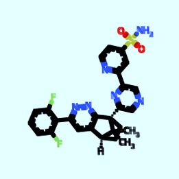 CC1(C)[C@H]2CC[C@]1(c1cncc(-c3cc(S(N)(=O)=O)ccn3)n1)c1nnc(-c3c(F)cccc3F)cc12